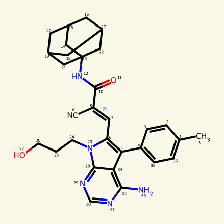 Cc1ccc(-c2c(/C=C(\C#N)C(=O)NC34CC5CC(CC(C5)C3)C4)n(CCCO)c3ncnc(N)c23)cc1